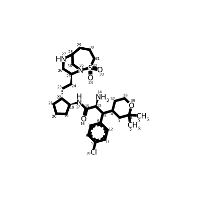 CC1(C)CC(C(c2ccc(Cl)cc2)[C@H](N)C(=O)N[C@H]2CCC[C@@H]2CC[C@H]2CNC3CCCS(=O)(=O)N2C3)CCO1